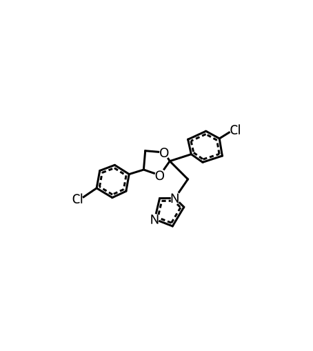 Clc1ccc(C2COC(Cn3ccnc3)(c3ccc(Cl)cc3)O2)cc1